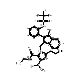 CCCc1nc(N(C)C)c(C(=O)NCC)n1Cc1c2ccocc-2c(Br)c1-c1ccccc1NS(=O)(=O)C(F)(F)F